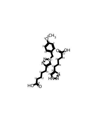 COc1ccc(Cn2cc(CCCCC(=O)O)nn2)cc1.O=C(O)CCCCc1c[nH]nn1